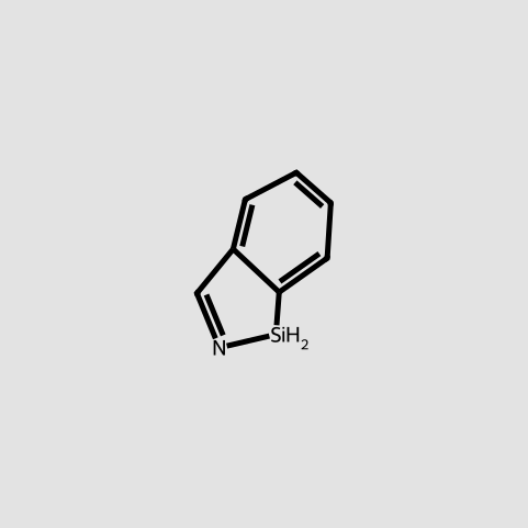 C1=N[SiH2]c2ccccc21